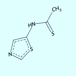 CC(=S)Nc1cncs1